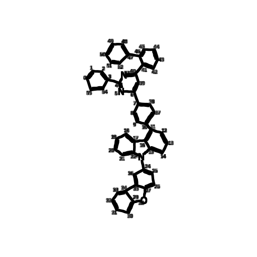 c1ccc(-c2nc(-c3ccc(-c4cccc5c4c4ccccc4n5-c4ccc5oc6ccccc6c5c4)cc3)cc(-c3ccccc3-c3ccccc3)n2)cc1